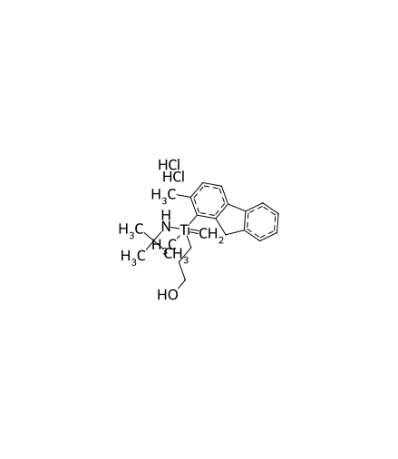 Cl.Cl.[CH2]=[Ti]([CH3])([CH2]CCO)([NH]C(C)(C)C)[c]1c(C)ccc2c1Cc1ccccc1-2